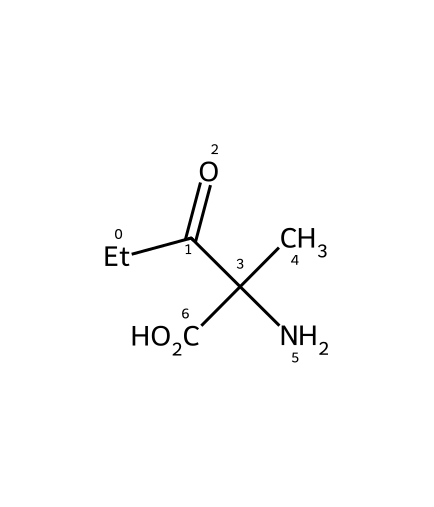 CCC(=O)C(C)(N)C(=O)O